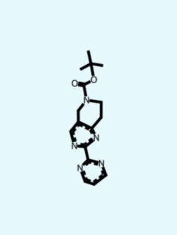 CC(C)(C)OC(=O)N1CCc2nc(-c3ncccn3)ncc2C1